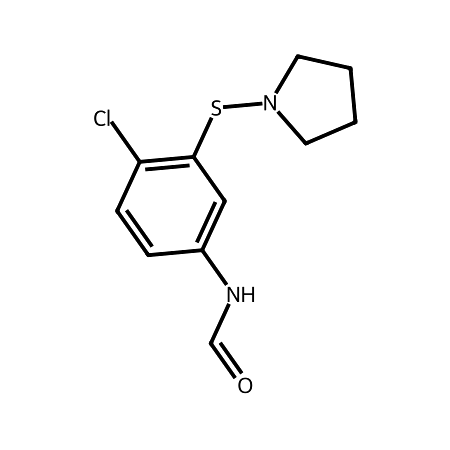 O=CNc1ccc(Cl)c(SN2CCCC2)c1